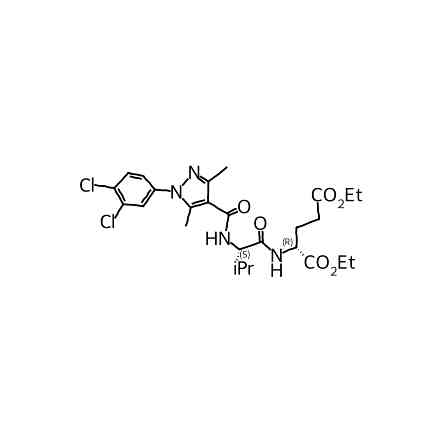 CCOC(=O)CC[C@@H](NC(=O)[C@@H](NC(=O)c1c(C)nn(-c2ccc(Cl)c(Cl)c2)c1C)C(C)C)C(=O)OCC